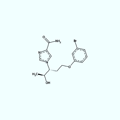 C[C@H](O)[C@@H](CCOc1cccc(Br)c1)n1cnc(C(N)=O)c1